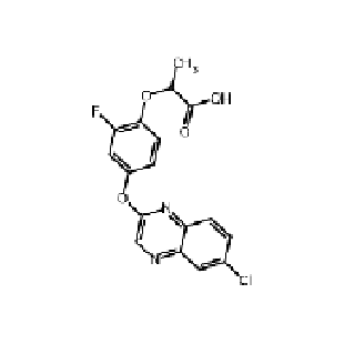 CC(Oc1ccc(Oc2cnc3cc(Cl)ccc3n2)cc1F)C(=O)O